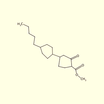 CCCCCC1CCC(C2CCC(C(=O)OC)C(=O)C2)CC1